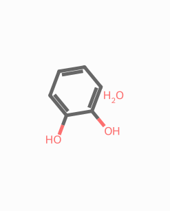 O.Oc1ccccc1O